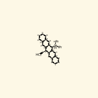 C#Cc1c2cc3ccccc3cc2c([SiH](C(C)C)C(C)C)c2cc3ccccc3cc12